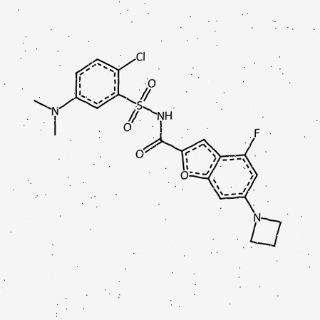 CN(C)c1ccc(Cl)c(S(=O)(=O)NC(=O)c2cc3c(F)cc(N4CCC4)cc3o2)c1